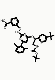 Cc1cccc(C)c1-c1cc(OC(CNC(=O)OC(C)(C)C)c2ccc(C(C)(C)C)cn2)nc(NSc2cccc(C(=O)O)c2)n1